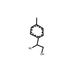 Cc1ccc(C(C#N)CO)cc1